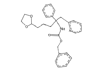 O=C(NC(CCCC1OCCO1)(Cc1ccccn1)c1ccccc1)OCc1ccccc1